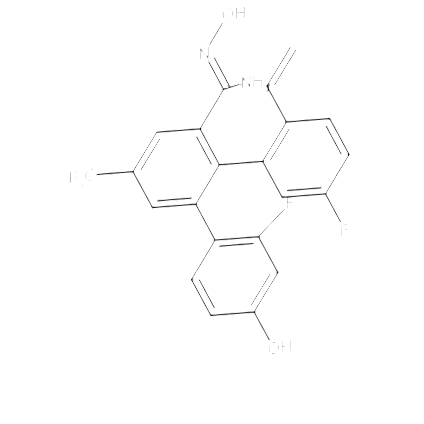 C=Cc1ccc(F)cc1-c1c(/C(N)=N/O)cc(C(F)(F)F)cc1-c1ccc(O)cc1F